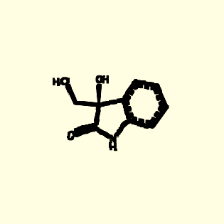 O=C1Nc2ccccc2[C@@]1(O)CO